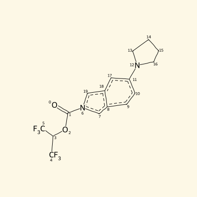 O=C(OC(C(F)(F)F)C(F)(F)F)n1cc2ccc(N3CCCC3)cc2c1